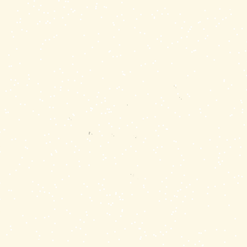 Cn1cc(-c2cncc(Nc3nc(NC4CCCCC4N)c(F)cc3C(N)=O)c2)cn1